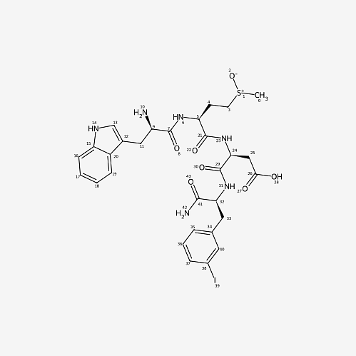 C[S+]([O-])CC[C@H](NC(=O)[C@H](N)Cc1c[nH]c2ccccc12)C(=O)N[C@@H](CC(=O)O)C(=O)N[C@@H](Cc1cccc(I)c1)C(N)=O